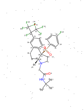 [2H]C([2H])([2H])NC(=O)CN1CC[C@@]2(S(=O)(=O)c3ccc(F)cc3)c3ccc(C(F)(C(F)(F)F)C(F)(F)F)cc3CC[C@@H]12